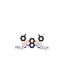 Cc1cc(S(=O)(=O)N(CC(=O)O)c2ccc(N(CC(=O)O)S(=O)(=O)c3ccc(F)c(C)c3)c3ccccc23)ccc1F